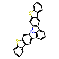 c1ccc2c(c1)sc1cc3c(cc12)c1cccc2c4cc5c(cc4n3c12)sc1ccccc15